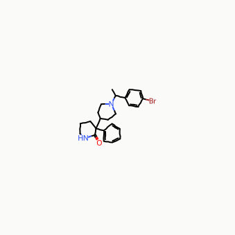 CC(c1ccc(Br)cc1)N1CCC(C2(c3ccccc3)CCCNC2=O)CC1